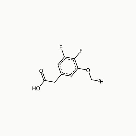 [2H]COc1cc(CC(=O)O)cc(F)c1F